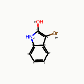 Oc1[nH]c2ccccc2c1Br